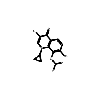 CC(=O)c1cn(C2CC2)c2c(OC(F)F)c(C(C)C)ccc2c1=O